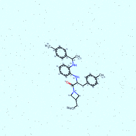 COCC1CN(C(=O)C(Cc2ccc(C)cc2)Nc2ccccc2NC(C)c2ccc(C)cc2)C1